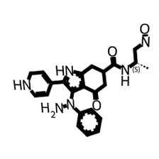 C[C@@H](CN=O)NC(=O)C1CC(=O)c2c([nH]c(C3=CCNC=C3)c2N(N)c2ccccc2)C1